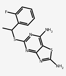 CC(Sc1nc(N)c2sc(N)nc2n1)c1ccccc1F